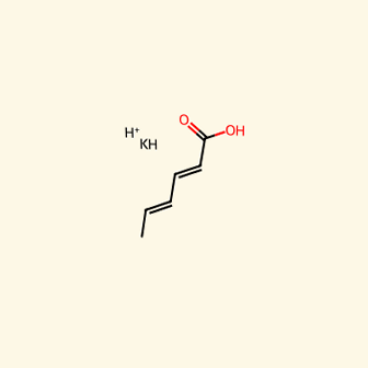 C/C=C/C=C/C(=O)O.[H+].[KH]